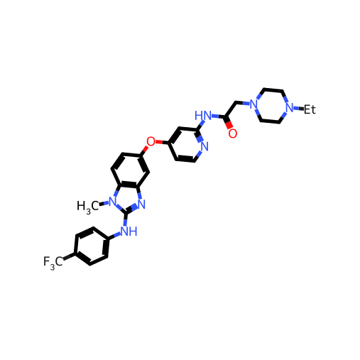 CCN1CCN(CC(=O)Nc2cc(Oc3ccc4c(c3)nc(Nc3ccc(C(F)(F)F)cc3)n4C)ccn2)CC1